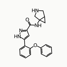 O=C(NC12CNCC1C2)c1cc(-c2ccccc2Oc2ccccc2)[nH]n1